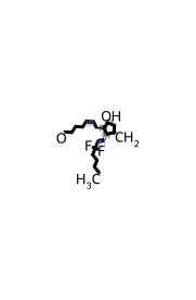 C=C1C[C@H](O)[C@H](C/C=C\CCCC=O)[C@H]1/C=C/C(F)(F)CCCCC